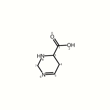 O=C(O)C1CC=NCN1